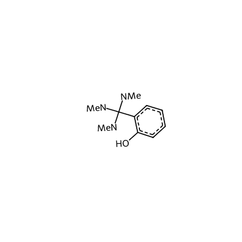 CNC(NC)(NC)c1ccccc1O